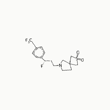 O=S1(=O)CC2(CCN(CC[C@H](F)c3ccc(C(F)(F)F)cc3)C2)C1